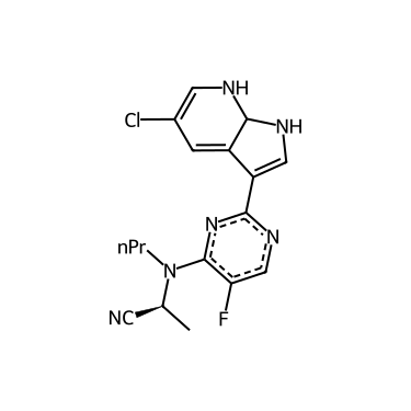 CCCN(c1nc(C2=CNC3NC=C(Cl)C=C23)ncc1F)[C@@H](C)C#N